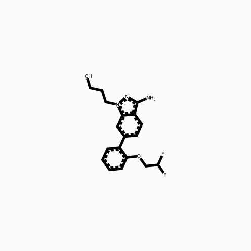 Nc1nn(CCCO)c2cc(-c3ccccc3OCC(F)F)ccc12